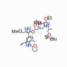 C=Cc1nn(C2CCCCO2)c2c(C)nc(-c3c(COC)nn(C)c3OC(C)[C@@H](C)N(Cc3c(I)c(OCC)nn3[C@@H](C)CO[Si](C)(C)C(C)(C)C)C(=O)OC(C)(C)C)cc12